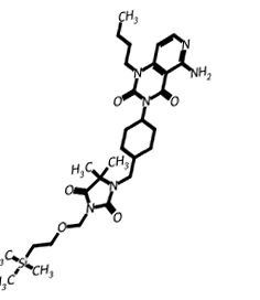 CCCCn1c(=O)n(C2CCC(CN3C(=O)N(COCC[Si](C)(C)C)C(=O)C3(C)C)CC2)c(=O)c2c(N)nccc21